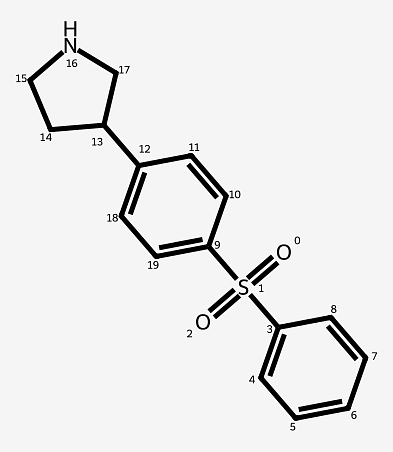 O=S(=O)(c1ccccc1)c1ccc(C2CCNC2)cc1